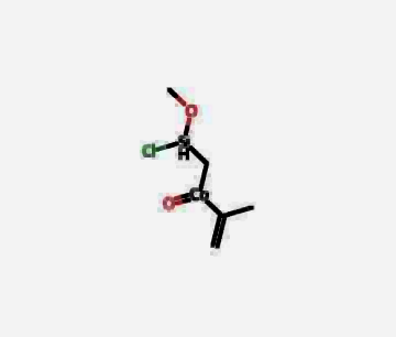 C=[C](C)[Co](=[O])[CH2][SiH](Cl)OC